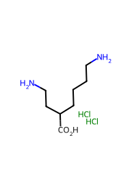 Cl.Cl.NCCCCC(CCN)C(=O)O